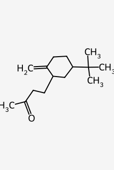 C=C1CCC(C(C)(C)C)CC1CCC(C)=O